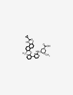 Cc1ccc2c(NC(=O)C3CC3)c(F)ccc2c1Oc1ncccc1-c1ccnc(N[C@H]2C[C@@H](C)CN(C(=O)O)C2)n1